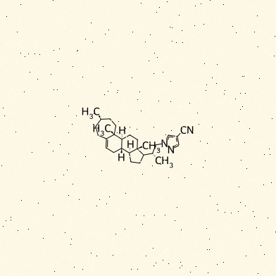 C[C@@H]1CCC2=CC[C@@H]3[C@H](CC[C@]4(C)C([C@@H](C)Cn5cc(C#N)cn5)CC[C@@H]34)[C@@]2(C)CC1